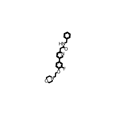 O=C(Cc1ccc(-c2ccc(OCCN3CCOCC3)c(F)c2)cn1)NCc1ccccc1